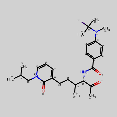 CC(=O)[C@@H](NC(=O)c1ccc(N(C)C(C)(C)I)cc1)C(C)CCc1cccn(CC(C)C)c1=O